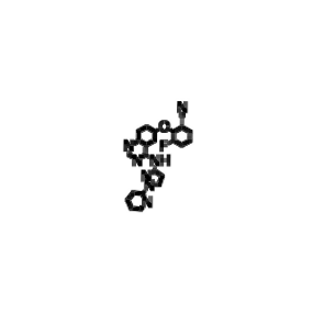 N#Cc1cccc(F)c1Oc1ccc2ncnc(Nc3ccn(-c4ccccn4)n3)c2c1